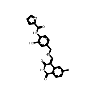 O=C1NC(=O)c2ccc(I)cc2/C1=C/NCc1ccc(NC(=O)c2ccco2)c(O)c1